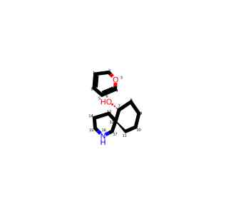 C1=CCOC=C1.O[C@@H]1CCCC[C@@]12CCCNC2